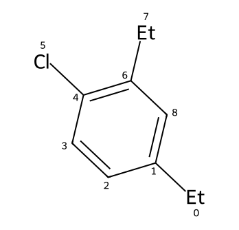 [CH2]Cc1ccc(Cl)c(CC)c1